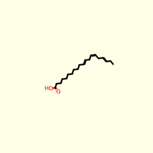 CC/C=C/C/C=C\C/C=C/CCCCCCCCCC(=O)O